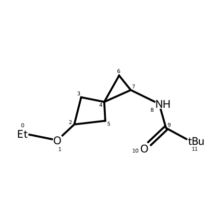 CCOC1CC2(C1)CC2NC(=O)C(C)(C)C